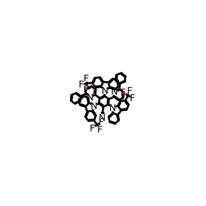 N#Cc1c(-n2c3ccccc3c3ccc(C(F)(F)F)cc32)c(-c2cccc(-c3ccccc3)n2)c(-n2c3ccccc3c3ccc(C(F)(F)F)cc32)c(-c2cccc(-c3ccccc3)n2)c1-n1c2ccccc2c2ccc(C(F)(F)F)cc21